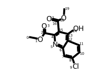 COC(=O)c1nc2cc(Cl)ccc2c(O)c1C(=O)OC